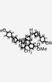 COC(=O)c1ccc(-c2nc(Nc3cnn(C4CCC(OC)CC4)c3)ncc2C)c(-c2nc(Nc3cnn(C4CCC(OC)CC4)c3)ncc2C)c1